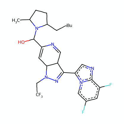 CCC(C)CC1CCC(C)N1C(O)C1=CC2C(C=N1)C(c1cnc3c(F)cc(F)cn13)=NN2CC(F)(F)F